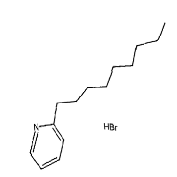 Br.CCCCCCCCCc1ccccn1